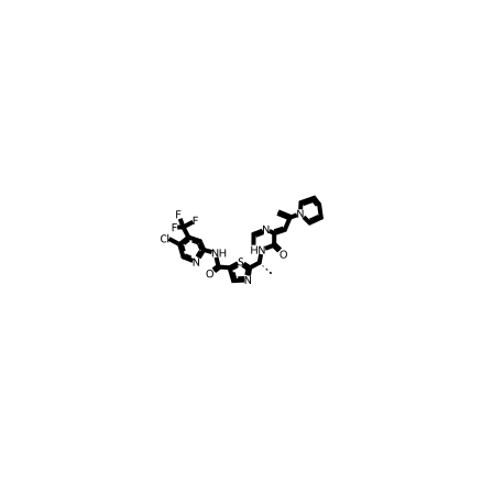 C=C(/C=C(\N=C/C)C(=O)N[C@H](C)c1ncc(C(=O)Nc2cc(C(F)(F)F)c(Cl)cn2)s1)N1C=C=CC=C1